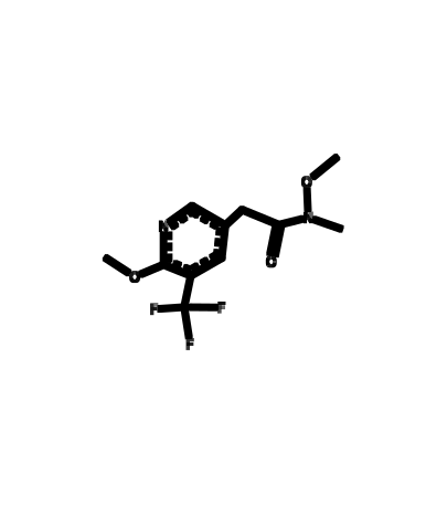 COc1ncc(CC(=O)N(C)OC)cc1C(F)(F)F